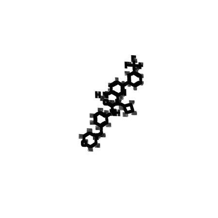 Nc1ccc(-c2cccc(C(F)(F)F)c2)nc1N(C(=O)Nc1cccc(CN2CCOCC2)c1)C1CCC1